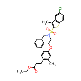 CCOC(=O)CCc1ccc(OCCN(Cc2ccccc2)S(=O)(=O)c2sc3ccc(Cl)cc3c2C)cc1C